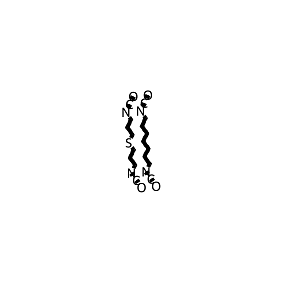 O=C=NCCCCCCCN=C=O.O=C=NCCCSCCCN=C=O